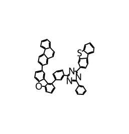 c1ccc(-c2nc(-c3cccc(-c4cccc5oc6ccc(-c7ccc8c(ccc9ccccc98)c7)cc6c45)c3)nc(-c3ccc4c(c3)sc3ccccc34)n2)cc1